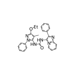 CCOc1nn(-c2ccccc2)c(NC(=O)Nc2c(-c3ccccc3)nc3ccccn23)c1C